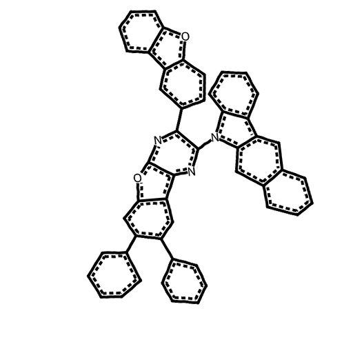 c1ccc(-c2cc3oc4nc(-c5ccc6oc7ccccc7c6c5)c(-n5c6ccccc6c6cc7ccccc7cc65)nc4c3cc2-c2ccccc2)cc1